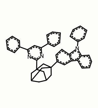 c1ccc(-c2cc(-c3ccccc3)nc(C34CC5CC(CC(c6ccc7c(c6)c6ccccc6n7-c6ccccc6)(C5)C3)C4)n2)cc1